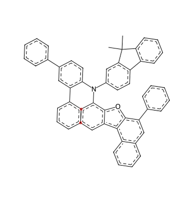 CC1(C)c2ccccc2-c2ccc(N(c3ccc(-c4ccccc4)cc3-c3ccccc3)c3cccc4c3oc3c(-c5ccccc5)cc5ccccc5c34)cc21